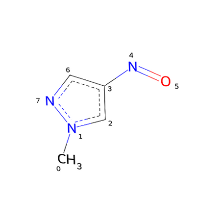 Cn1cc(N=O)cn1